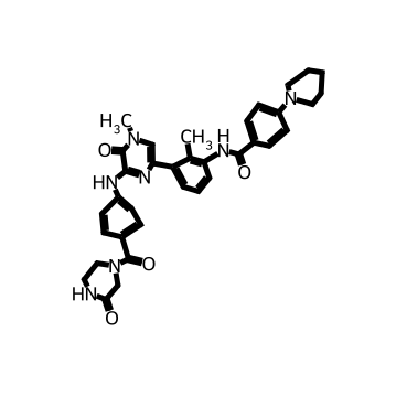 Cc1c(NC(=O)c2ccc(N3CCCCC3)cc2)cccc1-c1cn(C)c(=O)c(Nc2ccc(C(=O)N3CCNC(=O)C3)cc2)n1